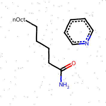 CCCCCCCCCCCCC(N)=O.c1ccncc1